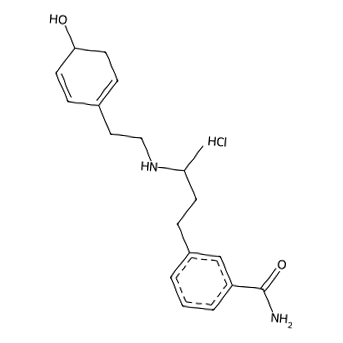 CC(CCc1cccc(C(N)=O)c1)NCCC1=CCC(O)C=C1.Cl